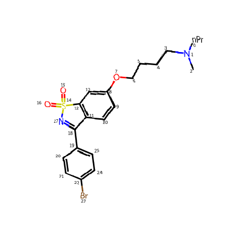 CCCN(C)CCCCOc1ccc2c(c1)S(=O)(=O)N=C2c1ccc(Br)cc1